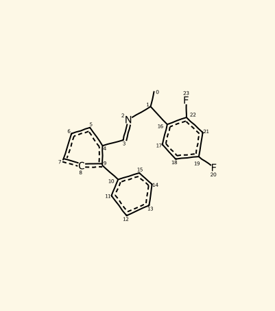 CC(/N=C/c1ccccc1-c1ccccc1)c1ccc(F)cc1F